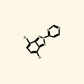 Brc1ccc(Br)c2nn(-c3ccncn3)nc12